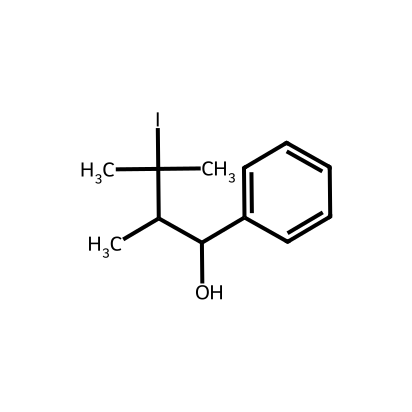 CC(C(O)c1ccccc1)C(C)(C)I